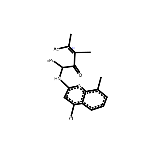 CCCC(Nc1cc(Cl)c2cccc(C)c2n1)C(=O)/C(C)=C(/C)C(C)=O